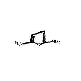 CNc1ccc(N)s1